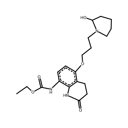 CCOC(=O)Nc1ccc(OCCCN2CCCCC2O)c2c1NC(=O)CC2